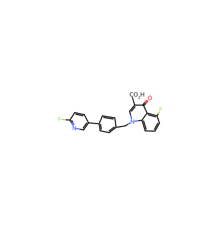 O=C(O)c1cn(Cc2ccc(-c3ccc(F)nc3)cc2)c2cccc(F)c2c1=O